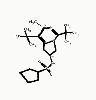 C[C@@H]1N=C(C(C)(C)C)N2C[C@@H](NS(=O)(=O)C3CCCC3)CC2=C1C(C)(C)C